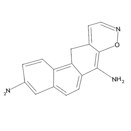 NC1=C2ON=CC=C2Cc2c1ccc1cc(N)ccc21